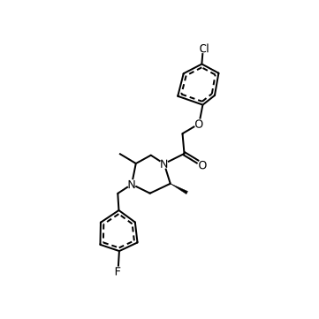 CC1CN(C(=O)COc2ccc(Cl)cc2)[C@@H](C)CN1Cc1ccc(F)cc1